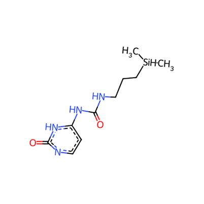 C[SiH](C)CCCNC(=O)Nc1ccnc(=O)[nH]1